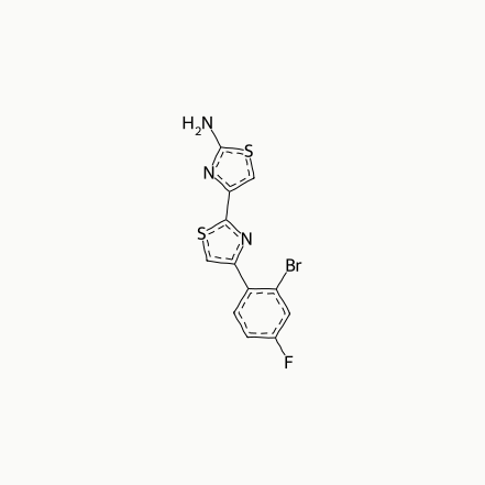 Nc1nc(-c2nc(-c3ccc(F)cc3Br)cs2)cs1